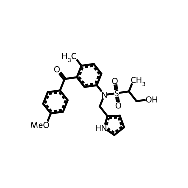 COc1ccc(C(=O)c2cc(N(Cc3ccc[nH]3)S(=O)(=O)C(C)CO)ccc2C)cc1